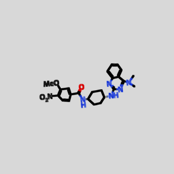 COc1cc(C(=O)N[C@H]2CC[C@@H](Nc3nc(N(C)C)c4ccccc4n3)CC2)ccc1[N+](=O)[O-]